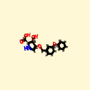 O=C(O)[C@H]1NC[C@@H](OCc2cccc(Oc3ccccc3)c2)[C@@H]1O